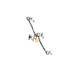 CCCCCCCCCCCCCCCCCCCCCC(C)PC(C)CCCCCCCCCCCCCCCCCCCCC